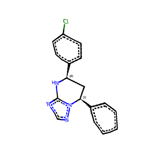 Clc1ccc([C@H]2C[C@@H](c3ccccc3)n3ncnc3N2)cc1